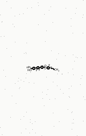 C=CCCOc1ccc(OC(=O)c2ccc(-c3ccc(-c4ccc(C(O)CCC)cc4)c(F)c3F)cc2)cc1F